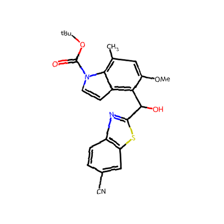 COc1cc(C)c2c(ccn2C(=O)OC(C)(C)C)c1C(O)c1nc2ccc(C#N)cc2s1